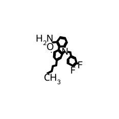 CCCCCc1c[c]c2c3c(C(N)=O)cccc3n(Cc3ccc(F)c(F)c3)c2c1